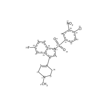 CN1CC=C(c2cn(S(=O)(=O)c3ccc(Cl)c([N+](=O)[O-])c3)c3ccc(F)cc23)CC1